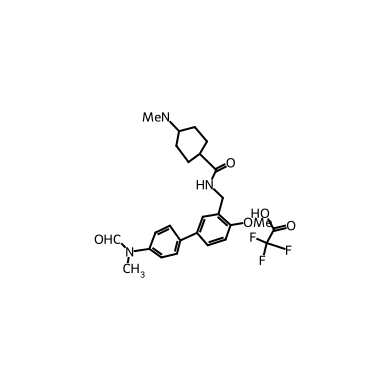 CNC1CCC(C(=O)NCc2cc(-c3ccc(N(C)C=O)cc3)ccc2OC)CC1.O=C(O)C(F)(F)F